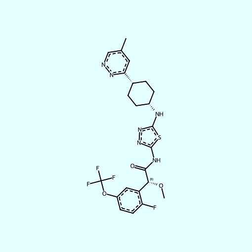 CO[C@@H](C(=O)Nc1nnc(N[C@H]2CC[C@@H](c3cc(C)cnn3)CC2)s1)c1cc(OC(F)(F)F)ccc1F